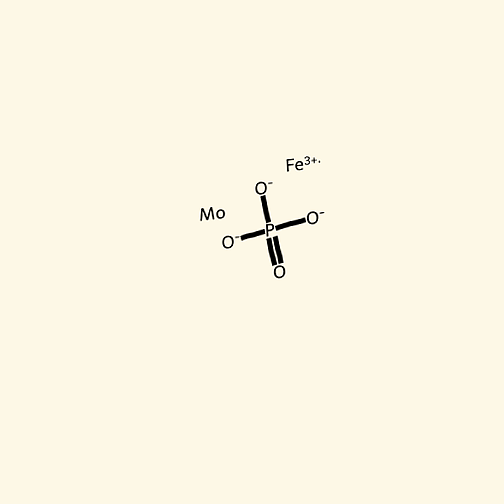 O=P([O-])([O-])[O-].[Fe+3].[Mo]